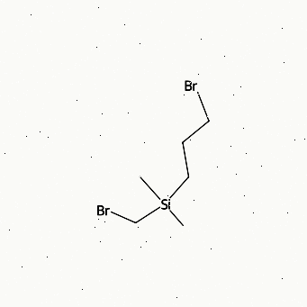 C[Si](C)(CBr)CCCBr